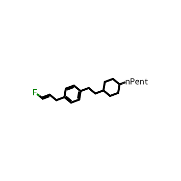 CCCCCC1CCC(CCc2ccc(CC=CF)cc2)CC1